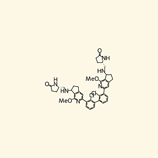 COc1nc(-c2cccc(-c3cccc(-c4cc5c(c(OC)n4)[C@@H](NC[C@@H]4CCC(=O)N4)CC5)c3Cl)c2Cl)cc2c1C(NC[C@@H]1CCC(=O)N1)CC2